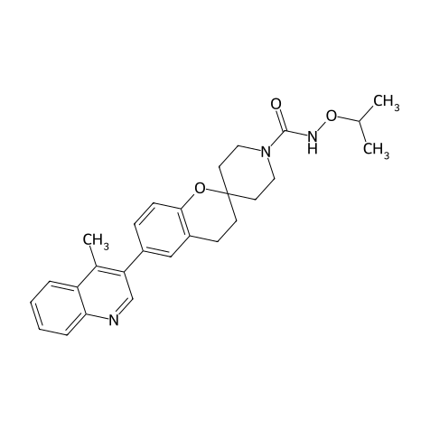 Cc1c(-c2ccc3c(c2)CCC2(CCN(C(=O)NOC(C)C)CC2)O3)cnc2ccccc12